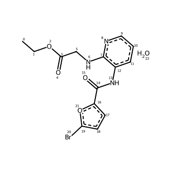 CCOC(=O)CNc1ncccc1NC(=O)c1ccc(Br)o1.O